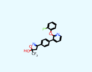 OC1(C(F)(F)F)CC(c2ccc(-c3cccnc3Oc3ccccc3F)cc2)=NO1